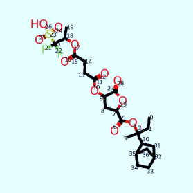 CCC(C)(OC(=O)C1CC(OC(=O)CCC(=O)OC(C)C(F)(F)S(=O)(=O)O)C(=O)O1)C1CC2CCC1C2